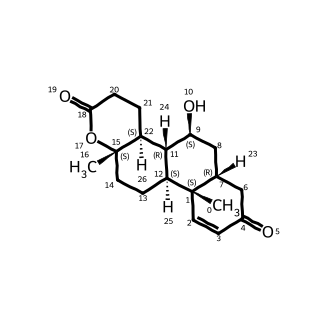 C[C@]12C=CC(=O)C[C@H]1C[C@H](O)[C@@H]1[C@@H]2CC[C@]2(C)OC(=O)CC[C@@H]12